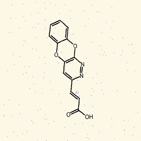 O=C(O)/C=C/c1cc2c(nn1)Oc1ccccc1O2